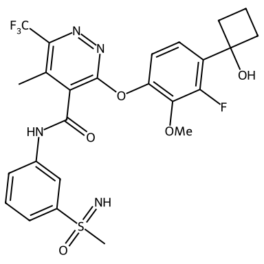 COc1c(Oc2nnc(C(F)(F)F)c(C)c2C(=O)Nc2cccc(S(C)(=N)=O)c2)ccc(C2(O)CCC2)c1F